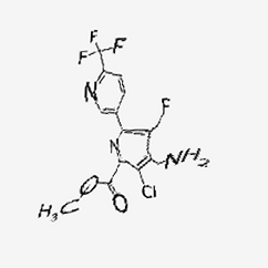 COC(=O)c1nc(-c2ccc(C(F)(F)F)nc2)c(F)c(N)c1Cl